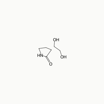 O=C1CCCN1.OCCO